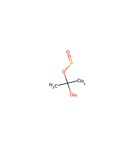 CC(C)(O)OP=O